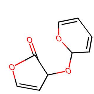 O=C1OC=CC1OC1C=CC=CO1